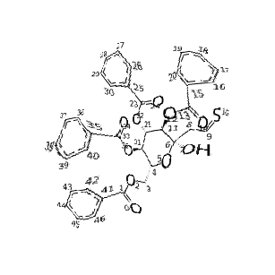 O=C(OC[C@H]1O[C@](O)(CC=S)[C@H](OC(=O)c2ccccc2)[C@@H](OC(=O)c2ccccc2)[C@@H]1OC(=O)c1ccccc1)c1ccccc1